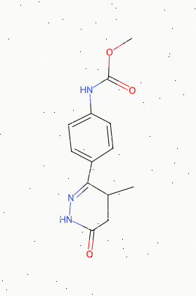 COC(=O)Nc1ccc(C2=NNC(=O)CC2C)cc1